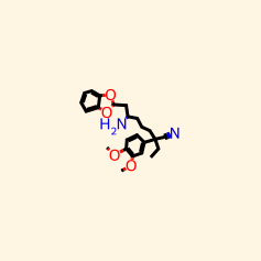 CCC(C#N)(CCCC(N)CC1Oc2ccccc2O1)c1ccc(OC)c(OC)c1